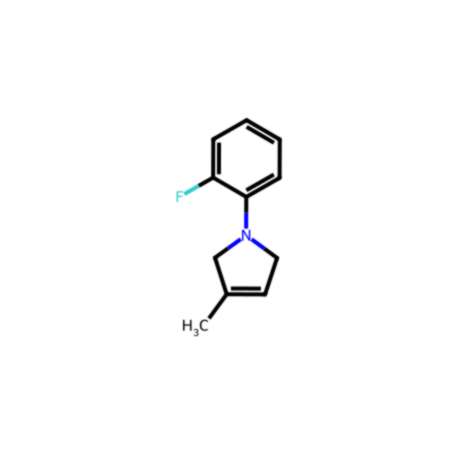 CC1=CCN(c2ccccc2F)C1